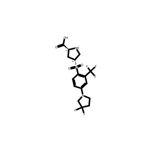 O=C(O)[C@@H]1C[C@@H](S(=O)(=O)c2ccc(N3CCC(F)(F)C3)cc2C(F)(F)F)CN1